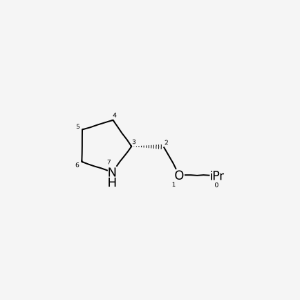 CC(C)OC[C@H]1CCCN1